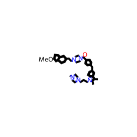 COc1ccc2cc(CCN3CCN(C(=O)c4ccc(Cc5ccc6c(c5)c(C)c(C)n6CCCN5CCN(C)CC5)cc4)CC3)ccc2c1